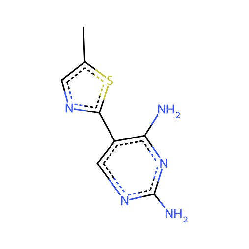 Cc1cnc(-c2cnc(N)nc2N)s1